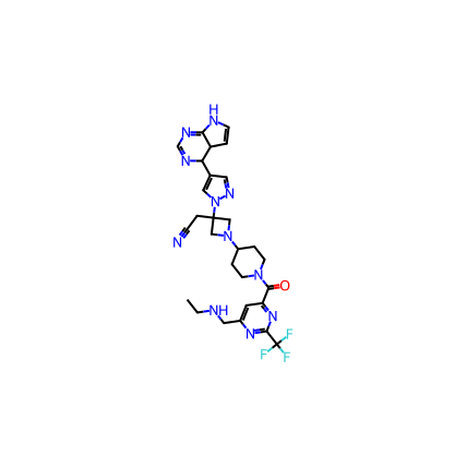 CCNCc1cc(C(=O)N2CCC(N3CC(CC#N)(n4cc(C5N=CN=C6NC=CC65)cn4)C3)CC2)nc(C(F)(F)F)n1